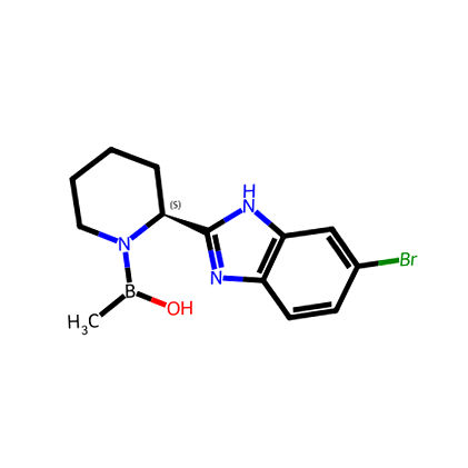 CB(O)N1CCCC[C@H]1c1nc2ccc(Br)cc2[nH]1